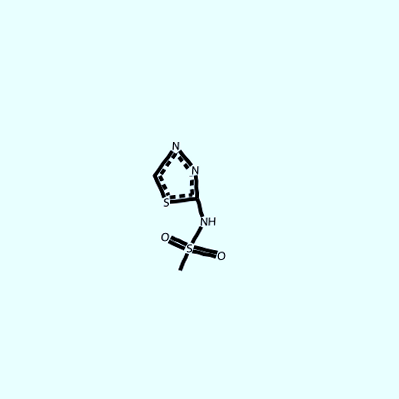 CS(=O)(=O)Nc1nncs1